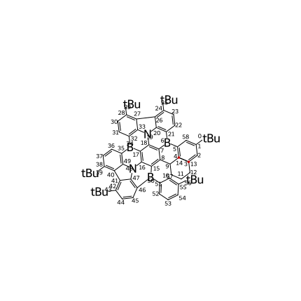 CC(C)(C)c1cccc(B2c3c(C4CCCCC4)c4c5c6c3-n3c7c2ccc(C(C)(C)C)c7c2c(C(C)(C)C)ccc(c23)B6c2ccc(C(C)(C)C)c3c6c(C(C)(C)C)ccc(c6n-5c23)B4c2cccc(C(C)(C)C)c2)c1